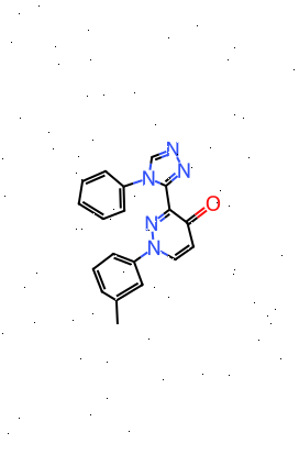 Cc1cccc(-n2ccc(=O)c(-c3nncn3-c3ccccc3)n2)c1